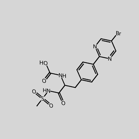 CS(=O)(=O)NC(=O)C(Cc1ccc(-c2ncc(Br)cn2)cc1)NC(=O)O